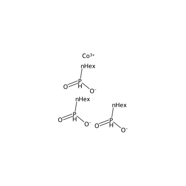 CCCCCC[PH](=O)[O-].CCCCCC[PH](=O)[O-].CCCCCC[PH](=O)[O-].[Co+3]